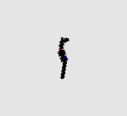 CCCCCCCCCCc1ccc(-c2ccc(OCCCC[C@@H](C)CCC)cc2)nc1